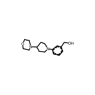 OCc1cccc(N2CCC(N3CCOCC3)CC2)c1